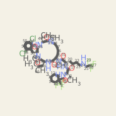 CC[C@H](NC(=O)C1(C(F)(F)F)CCCCC1)C(=O)N[C@@H](CCCCNCC(F)(F)F)C(=O)N(C)[C@H]1CCCCN(C)C(=O)[C@@H](CC)NC(=O)[C@H](Cc2cc(Cl)ccc2Cl)N(C)C(=O)[C@H](CC(C)C)NC1=O